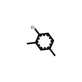 C[CH]c1ccc(C)cc1C